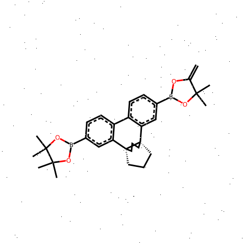 C=C1OB(c2ccc3c(c2)[C@]24CCC[C@]2(CCC4)c2cc(B4OC(C)(C)C(C)(C)O4)ccc2-3)OC1(C)C